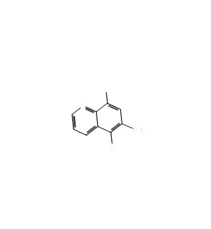 Nc1cc(F)c2ncccc2c1F